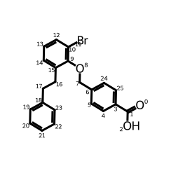 O=C(O)c1ccc(COc2c(Br)cccc2CCc2ccccc2)cc1